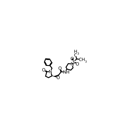 CC(C)S(=O)(=O)N1CCC(NC(=O)C2OC2[C@H]2CCC(=O)N2Cc2ccccc2)CC1